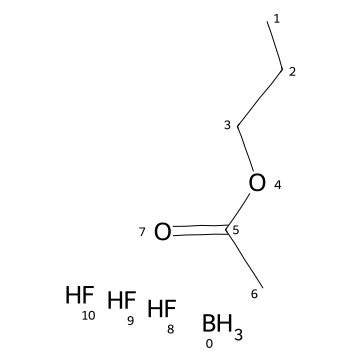 B.CCCOC(C)=O.F.F.F